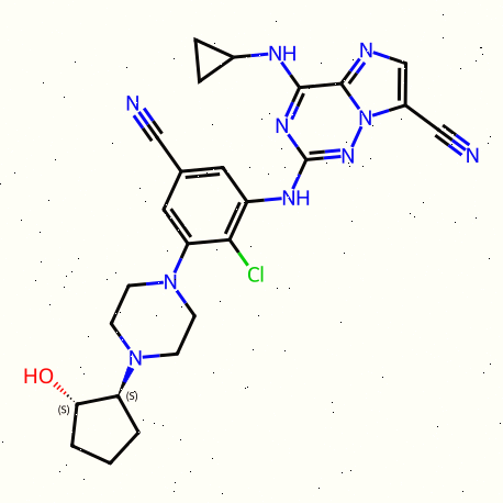 N#Cc1cc(Nc2nc(NC3CC3)c3ncc(C#N)n3n2)c(Cl)c(N2CCN([C@H]3CCC[C@@H]3O)CC2)c1